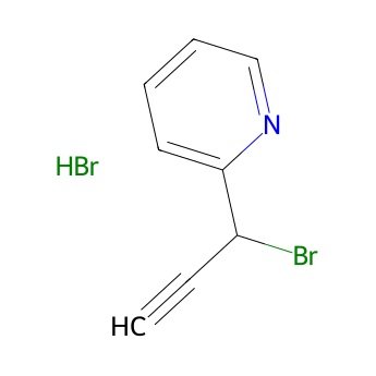 Br.C#CC(Br)c1ccccn1